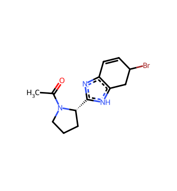 CC(=O)N1CCC[C@H]1c1nc2c([nH]1)CC(Br)C=C2